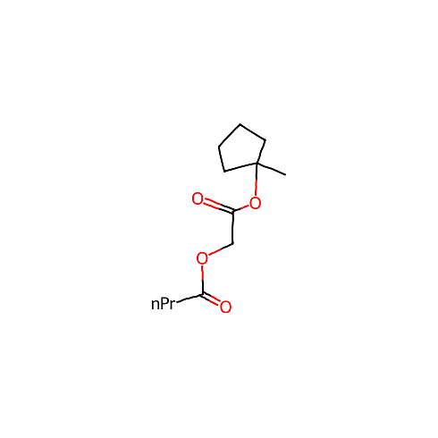 CCCC(=O)OCC(=O)OC1(C)CCCC1